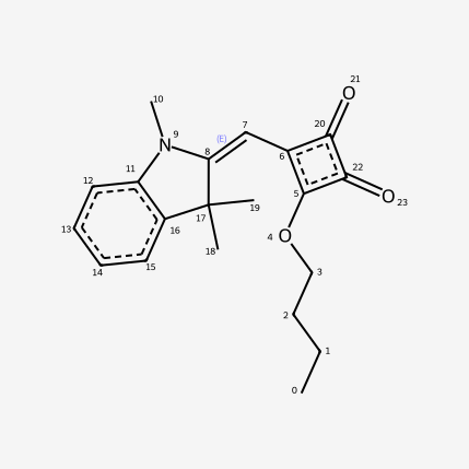 CCCCOc1c(/C=C2/N(C)c3ccccc3C2(C)C)c(=O)c1=O